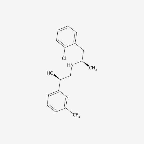 C[C@H](Cc1ccccc1Cl)NC[C@H](O)c1cccc(C(F)(F)F)c1